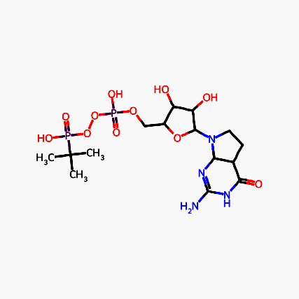 CC(C)(C)P(=O)(O)OOP(=O)(O)OCC1OC(N2CCC3C(=O)NC(N)=NC32)C(O)C1O